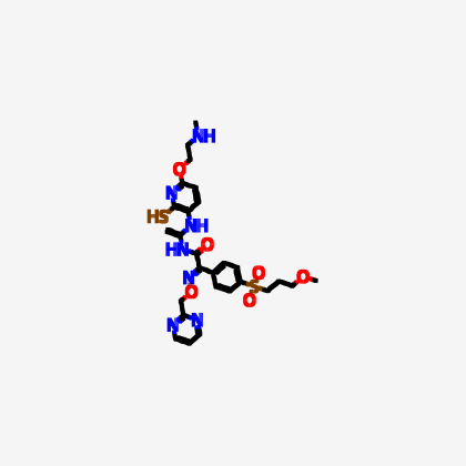 C=C(NC(=O)/C(=N/OCc1ncccn1)c1ccc(S(=O)(=O)CCCOC)cc1)Nc1ccc(OCCNC)nc1S